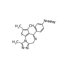 Cc1sc2c(c1C)C(c1ccc(N=[N+]=[N-])cc1)=NCc1nnc(C)n1-2